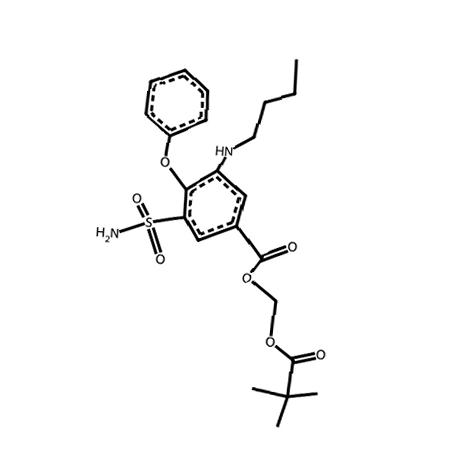 CCCCNc1cc(C(=O)OCOC(=O)C(C)(C)C)cc(S(N)(=O)=O)c1Oc1ccccc1